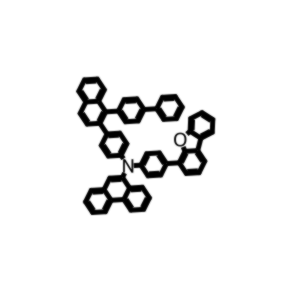 c1ccc(-c2ccc(-c3c(-c4ccc(N(c5ccc(-c6cccc7c6oc6ccccc67)cc5)c5cc6ccccc6c6ccccc56)cc4)ccc4ccccc34)cc2)cc1